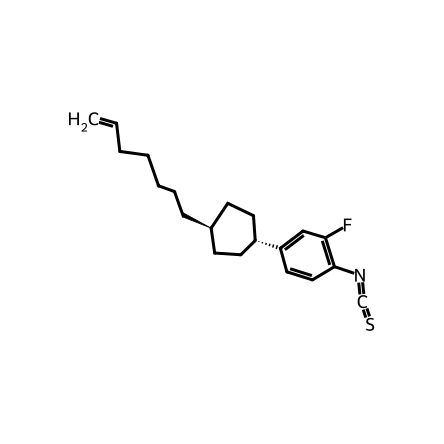 C=CCCCCC[C@H]1CC[C@H](c2ccc(N=C=S)c(F)c2)CC1